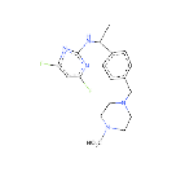 CC(Nc1nc(F)cc(F)n1)c1ccc(CN2CCN(C(=O)O)CC2)cc1